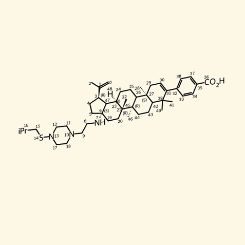 C=C(C)[C@@H]1CC[C@]2(NCCN3CCN(SCC(C)C)CC3)CC[C@]3(C)[C@H](CCC4[C@@]5(C)CC=C(c6ccc(C(=O)O)cc6)C(C)(C)C5CC[C@]43C)C12